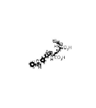 CC(=O)N1CC(c2ccc(NC(=O)Nc3ccccc3)cc2)CC1C(=O)NC(CCSCC(NC(=O)CC(C)(C)C)C(=O)O)C(=O)O